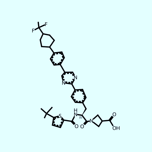 CC(C)(C)c1ccc(C(=O)N[C@@H](Cc2ccc(-c3ncc(-c4ccc(C5CCC(C(C)(F)F)CC5)cc4)cn3)cc2)C(=O)N2CC(C(=O)O)C2)s1